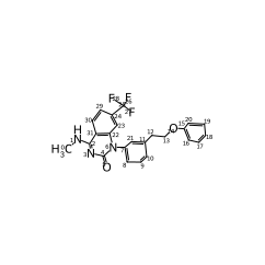 CNc1nc(=O)n(-c2cccc(CCOc3ccccc3)c2)c2cc(C(F)(F)F)ccc12